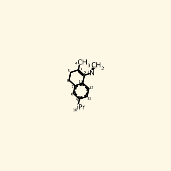 C=NC1=C(C)CCc2cc(C(C)C)ccc21